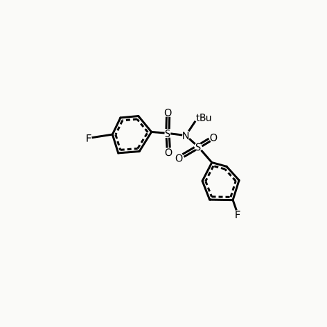 CC(C)(C)N(S(=O)(=O)c1ccc(F)cc1)S(=O)(=O)c1ccc(F)cc1